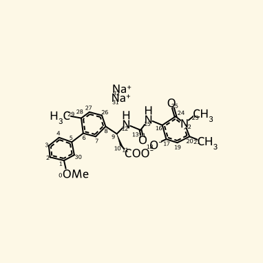 COc1cccc(-c2cc([C@H](CC(=O)[O-])NC(=O)Nc3c([O-])cc(C)n(C)c3=O)ccc2C)c1.[Na+].[Na+]